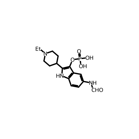 CCN1CCC(c2[nH]c3ccc(NC=O)cc3c2OP(=O)(O)O)CC1